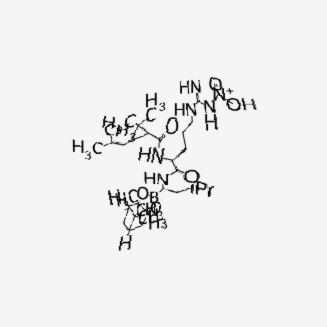 CC(C)=CC1C(C(=O)N[C@@H](CCCNC(=N)N[N+](=O)O)C(=O)N[C@@H](CC(C)C)B2O[C@@H]3C[C@@H]4C[C@@H](C4(C)C)[C@]3(C)O2)C1(C)C